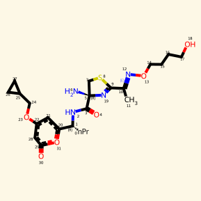 CCC[C@@H](NC(=O)[C@]1(N)CSC(/C(C)=N/OCCCCO)=N1)c1cc(OCC2CC2)cc(=O)o1